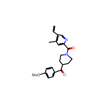 C=Cc1cnc(C(=O)N2CCC(C(=O)c3ccc(OC)cc3)CC2)cc1C